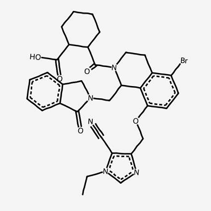 CCn1cnc(COc2ccc(Br)c3c2C(CN2Cc4ccccc4C2=O)N(C(=O)C2CCCCC2C(=O)O)CC3)c1C#N